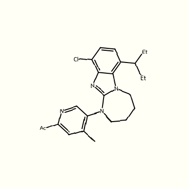 CCC(CC)c1ccc(Cl)c2nc3n(c12)CCCCN3c1cnc(C(C)=O)cc1C